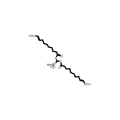 CCCCCCCCC=CCCCCCCCC(=O)OC(CC)OC(=O)CCCCCCCC=CCCCCCCCC.CNC